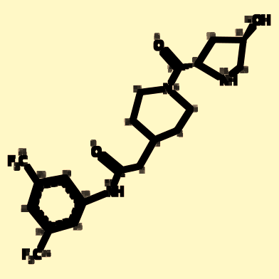 O=C(CC1CCN(C(=O)[C@@H]2C[C@@H](O)CN2)CC1)Nc1cc(C(F)(F)F)cc(C(F)(F)F)c1